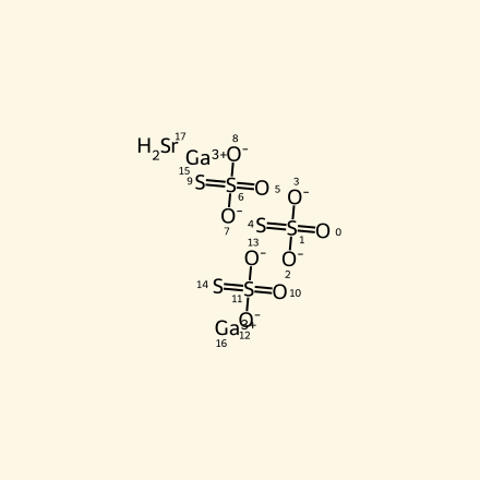 O=S([O-])([O-])=S.O=S([O-])([O-])=S.O=S([O-])([O-])=S.[Ga+3].[Ga+3].[SrH2]